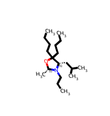 CCCCC1(CCCC)O[C@@H](C)N(CCC)[C@H]1CC(C)C